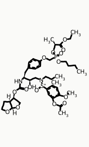 CCCCOP(=O)(COc1ccc(C[C@H](NC(=O)O[C@H]2CO[C@H]3OCC[C@H]32)[C@H](O)CN(CC(C)C)[S+]([O-])c2ccc(OC)c(OC(C)=O)c2)cc1)O[C@@H](C)C(=O)OCC